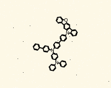 c1ccc(-c2ccc(N(c3ccc(-c4ccc(-n5c6ccccc6c6cc7oc8ccccc8c7cc65)cc4)cc3)c3ccc(N(c4ccccc4)c4ccccc4)cc3)cc2)cc1